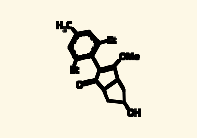 CCc1cc(C)cc(CC)c1C1=C(OC)C2CC(O)CC2C1=O